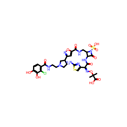 CC(C)(O/N=C(\C(=O)NC1C(=O)N(S(=O)(=O)O)C1CNC(=O)c1cc(C2CCN(CCNC(=O)c3ccc(O)c(O)c3Cl)C2)no1)c1csc(N)n1)C(=O)O